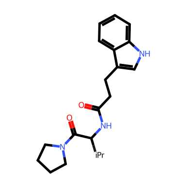 CC(C)C(NC(=O)CCc1c[nH]c2ccccc12)C(=O)N1CCCC1